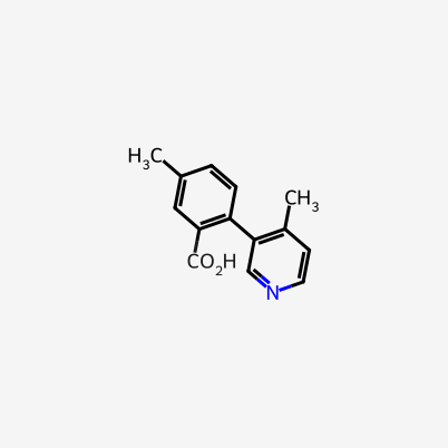 Cc1ccc(-c2cnccc2C)c(C(=O)O)c1